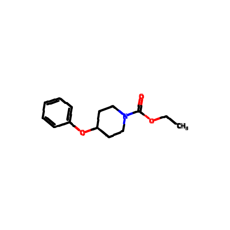 CCOC(=O)N1CCC(Oc2ccccc2)CC1